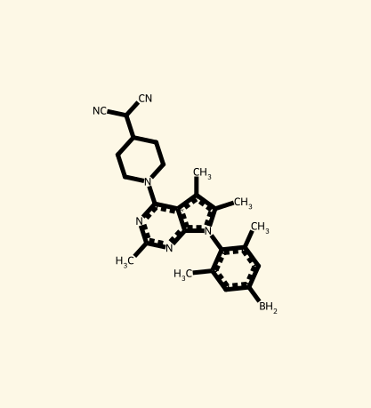 Bc1cc(C)c(-n2c(C)c(C)c3c(N4CCC(C(C#N)C#N)CC4)nc(C)nc32)c(C)c1